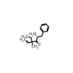 C=CC(C)(CC)C(=O)[C@H](N)Cc1ccccc1